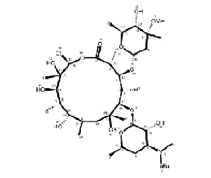 CCCCN(C)[C@H]1C[C@@H](C)O[C@@H](O[C@@H]2[C@@H](C)[C@H](O[C@H]3C[C@@](C)(OC)[C@@H](O)[C@H](C)O3)[C@@H](C)C(=O)O[C@H](CC)[C@@](C)(O)[C@H](O)[C@@H](C)[C@@H](O)[C@H](C)C[C@@]2(C)O)[C@@H]1O